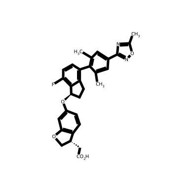 Cc1nc(-c2cc(C)c(-c3ccc(F)c4c3CC[C@H]4Oc3ccc4c(c3)OC[C@H]4CC(=O)O)c(C)c2)no1